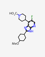 COC1CCC(c2nc3c(C4CCN(C(=O)O)CC4)c(F)cnc3[nH]2)CC1